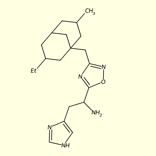 CCC1CC2CC(C)CC(Cc3noc(C(N)Cc4c[nH]cn4)n3)(C1)C2